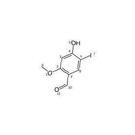 COc1cc(O)c(I)cc1C=O